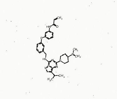 C=CC(=O)Nc1cccc(Oc2cccc(CNc3nc(N4CCC(N(C)C)CC4)nc4c(C(C)C)cnn34)c2)c1